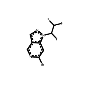 FC(F)C(F)n1ncc2cnc(Br)cc21